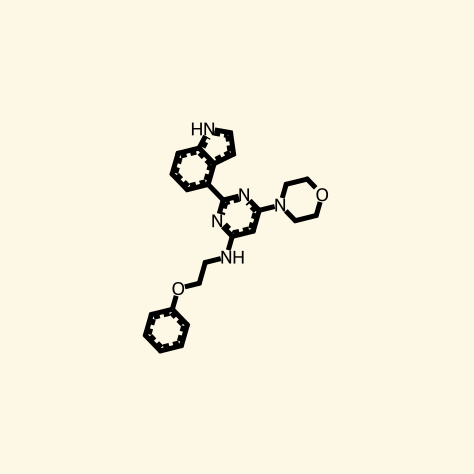 c1ccc(OCCNc2cc(N3CCOCC3)nc(-c3cccc4[nH]ccc34)n2)cc1